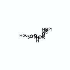 CC(C)NC(=O)CN1CCN(C(=O)c2ccc(Nc3cccc(-c4ccc(SCCCO)cc4)n3)cc2)CC1